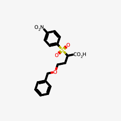 O=C(O)C(CCOCc1ccccc1)S(=O)(=O)c1ccc([N+](=O)[O-])cc1